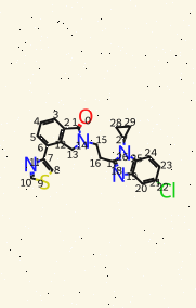 O=C1c2cccc(-c3cscn3)c2CN1CCc1nc2cc(Cl)ccc2n1C1CC1